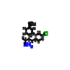 CC(N)C(Cc1ccc(Cl)cc1)c1ccc(C(C)(C)C)cc1